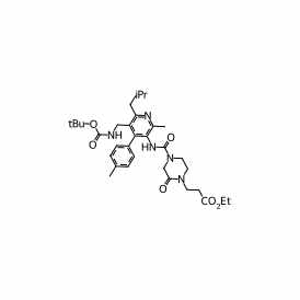 CCOC(=O)CCN1CCN(C(=O)Nc2c(C)nc(CC(C)C)c(CNC(=O)OC(C)(C)C)c2-c2ccc(C)cc2)CC1=O